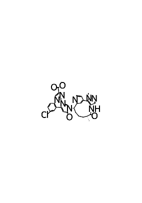 COC(=O)c1cn(-c2ccc(Cl)cc2-c2cc(=O)n([C@H]3CCC[C@@H](C)C(=O)Nc4cnn(C)c4-c4ccnc3c4)cn2)cn1